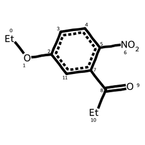 CCOc1ccc([N+](=O)[O-])c(C(=O)CC)c1